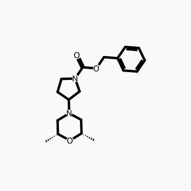 C[C@@H]1CN(C2CCN(C(=O)OCc3ccccc3)C2)C[C@H](C)O1